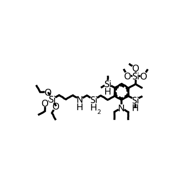 CCO[Si](CCCNC[SiH2]CCc1c([SiH](C)C)cc(C(C)[Si](OC)(OC)OC)c([SiH](C)C)c1N(CC)CC)(OCC)OCC